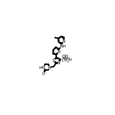 Cc1ccnc(Nc2cccc(-c3cnc(CN4CCNC(=O)C4)s3)n2)c1.O=C(O)O.[KH]